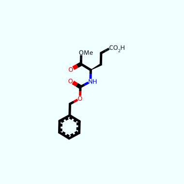 COC(=O)[C@@H](CCC(=O)O)NC(=O)OCc1ccccc1